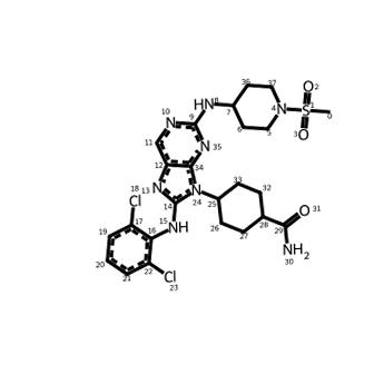 CS(=O)(=O)N1CCC(Nc2ncc3nc(Nc4c(Cl)cccc4Cl)n(C4CCC(C(N)=O)CC4)c3n2)CC1